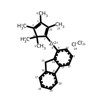 CC1=C(C)C(C)(C)[C]([Zr+2][c]2cccc3c2Cc2ccccc2-3)=C1C.[Cl-].[Cl-]